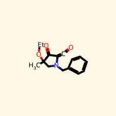 CCOC1(C)CN(Cc2ccccc2)C(=C=O)C1=O